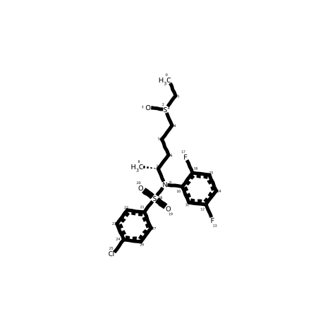 CC[S+]([O-])CCC[C@@H](C)N(c1cc(F)ccc1F)S(=O)(=O)c1ccc(Cl)cc1